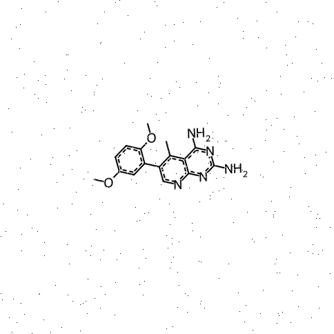 COc1ccc(OC)c(-c2cnc3nc(N)nc(N)c3c2C)c1